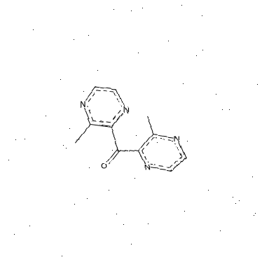 Cc1nccnc1C(=O)c1nccnc1C